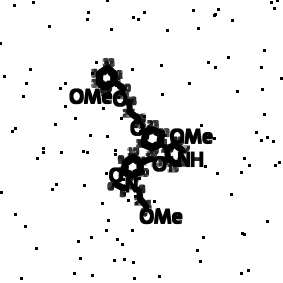 COCCCN1CCOc2ccc(COC3CNC[C@@H](OC)[C@@H]3c3ccc(OCCCOCc4ccccc4OC)cc3)cc21